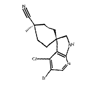 C[C@]1(C#N)CC[C@@]2(CC1)CNc1ncc(Br)c(Cl)c12